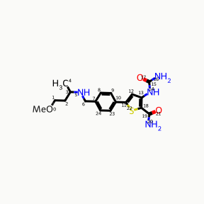 COCCC(C)NCc1ccc(-c2cc(NC(N)=O)c(C(N)=O)s2)cc1